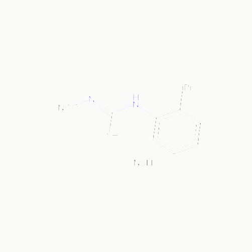 CC(C)c1ccccc1NC(S)=NC#N.[NaH]